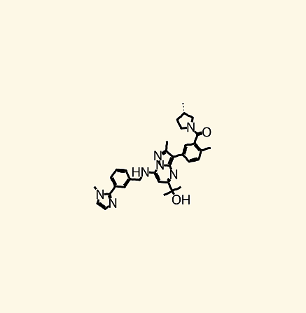 Cc1ccc(-c2c(C)nn3c(NCc4cccc(-c5nccn5C)c4)cc(C(C)(C)O)nc23)cc1C(=O)N1CC[C@H](C)C1